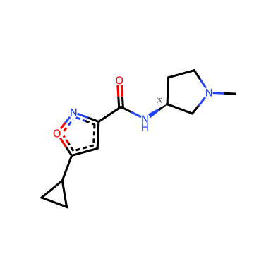 CN1CC[C@H](NC(=O)c2cc(C3CC3)on2)C1